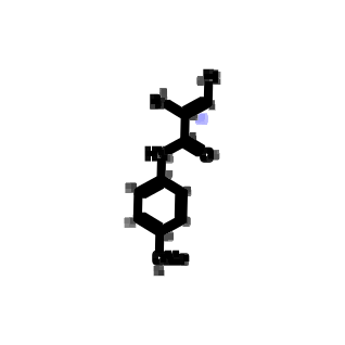 CC/C=C(\Br)C(=O)Nc1ccc(OC)cc1